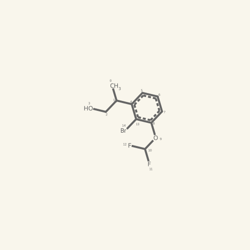 C[C](CO)c1cccc(OC(F)F)c1Br